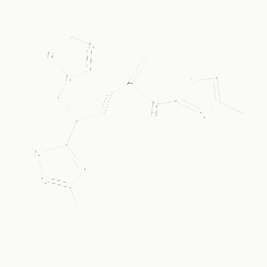 Cc1csc(NC(=O)c2cc(-c3cc(C)nn3C)cn3ncnc23)n1